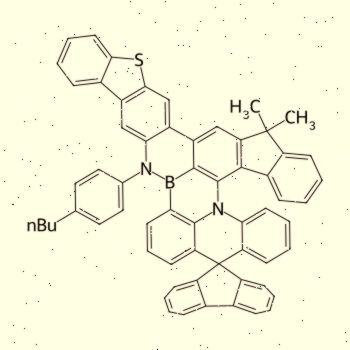 CCCCc1ccc(N2B3c4cccc5c4N(c4ccccc4C54c5ccccc5-c5ccccc54)c4c3c(cc3c4-c4ccccc4C3(C)C)-c3cc4sc5ccccc5c4cc32)cc1